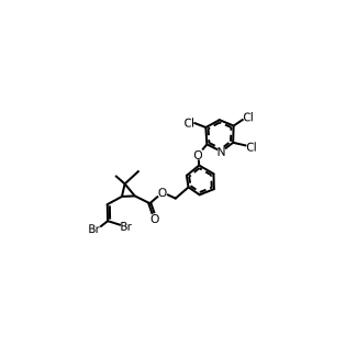 CC1(C)C(C=C(Br)Br)C1C(=O)OCc1cccc(Oc2nc(Cl)c(Cl)cc2Cl)c1